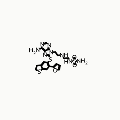 Nc1ncnc2c1nc(Sc1cc3c(cc1-c1ccco1)SCC3)n2CCNCCNS(N)(=O)=O